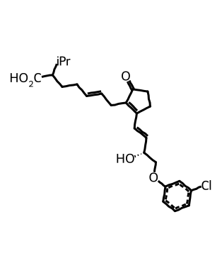 CC(C)C(CCC=CCC1=C(C=C[C@@H](O)COc2cccc(Cl)c2)CCC1=O)C(=O)O